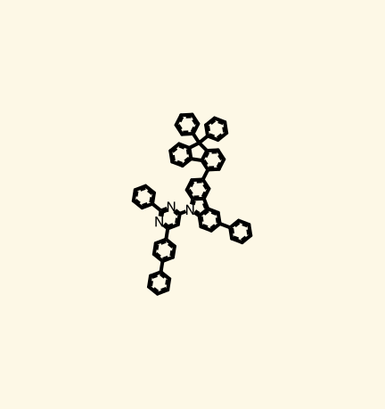 c1ccc(-c2ccc(-c3cc(-n4c5ccc(-c6ccccc6)cc5c5cc(-c6cccc7c6-c6ccccc6C7(c6ccccc6)c6ccccc6)ccc54)nc(-c4ccccc4)n3)cc2)cc1